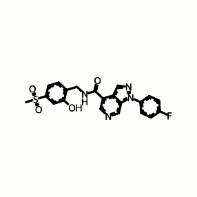 CS(=O)(=O)c1ccc(CNC(=O)c2cncc3c2cnn3-c2ccc(F)cc2)c(O)c1